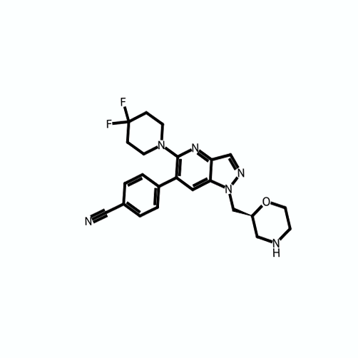 N#Cc1ccc(-c2cc3c(cnn3C[C@@H]3CNCCO3)nc2N2CCC(F)(F)CC2)cc1